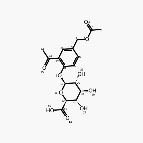 CC(=O)OCc1ccc(O[C@@H]2O[C@H](C(=O)O)[C@@H](O)[C@H](O)[C@H]2O)c(C(C)=O)c1